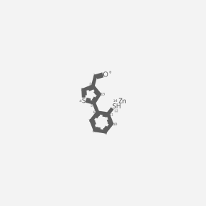 O=Cc1csc(-c2ccccc2S)c1.[Zn]